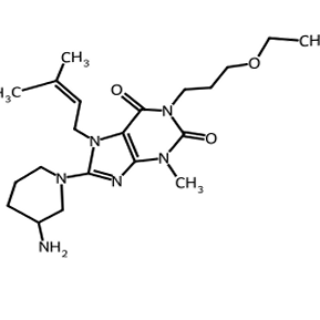 CCOCCCn1c(=O)c2c(nc(N3CCCC(N)C3)n2CC=C(C)C)n(C)c1=O